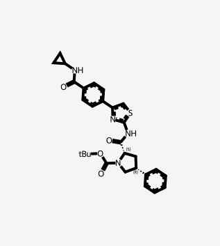 CC(C)(C)OC(=O)N1C[C@@H](c2ccccc2)C[C@H]1C(=O)Nc1nc(-c2ccc(C(=O)NC3CC3)cc2)cs1